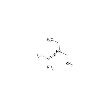 CC(N)=S.CCNCC